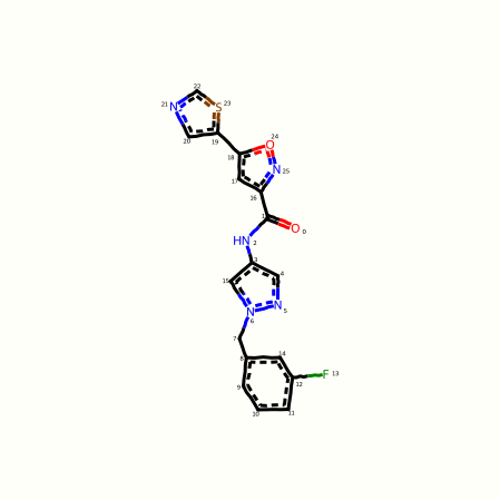 O=C(Nc1cnn(Cc2cccc(F)c2)c1)c1cc(-c2cncs2)on1